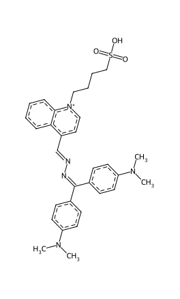 CN(C)c1ccc(C(=NN=Cc2cc[n+](CCCCS(=O)(=O)O)c3ccccc23)c2ccc(N(C)C)cc2)cc1